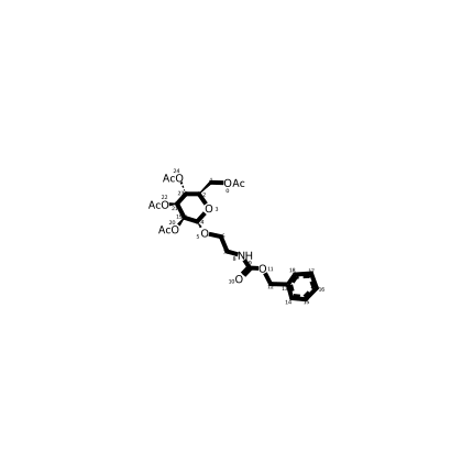 CC(=O)OC[C@H]1O[C@H](OCCNC(=O)OCc2ccccc2)[C@@H](OC(C)=O)[C@@H](OC(C)=O)[C@@H]1OC(C)=O